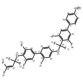 CCCc1ccc(-c2cc(F)c(C(F)(F)Oc3ccc(-c4cc(F)c(OC(F)(F)C=C(F)F)c(F)c4)c(F)c3)c(F)c2)cc1